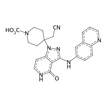 N#CCC1(n2nc(Nc3ccc4ncccc4c3)c3c(=O)[nH]ccc32)CCN(C(=O)O)CC1